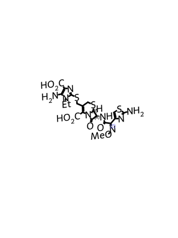 CCn1c(SCC2=C(C(=O)O)N3C(=O)[C@@H](NC(=O)/C(=N\OC)c4csc(N)n4)[C@@H]3SC2)nc(C(=O)O)c1N